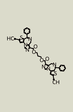 C#Cc1cc2c(s1)C(c1ccccc1)=NCc1c(C(=O)OCCCOC(=O)c3ncn4c3CN=C(c3ccccc3)c3sc(C#C)cc3-4)ncn1-2